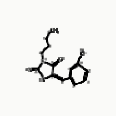 CCCCN1C(=O)/C(=C\c2cccc(O)c2)SC1=S